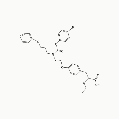 CCOC(Cc1ccc(OCCN(CCCOc2ccccc2)C(=O)Oc2ccc(Br)cc2)cc1)C(=O)O